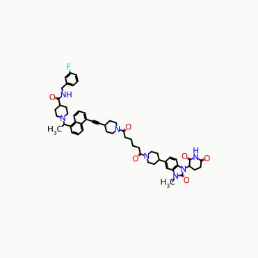 CC(c1cccc2c(C#CC3CCN(C(=O)CCCCC(=O)N4CCC(c5ccc6c(c5)n(C)c(=O)n6C5CCC(=O)NC5=O)CC4)CC3)cccc12)N1CCC(C(=O)NCc2cccc(F)c2)CC1